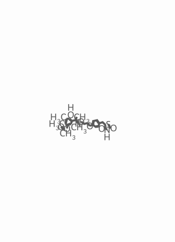 CC(=O)Oc1c(C)c(C)c(O)c(C(C)=NOCCOc2ccc(CC3SC(=O)NC3=O)cc2)c1C